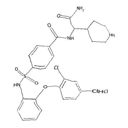 Cl.NC(=O)C(NC(=O)c1ccc(S(=O)(=O)Nc2ccccc2Oc2ccc(Cl)cc2Cl)cc1)C1CCNCC1